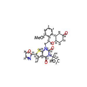 COc1ccccc1C(Cn1c(=O)n(C(C)(C)C(=O)O)c(=O)c2c(C)c(-c3ncco3)sc21)OC1CCC(=O)CC1